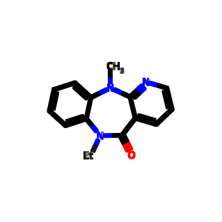 CCN1C(=O)c2cccnc2N(C)c2ccccc21